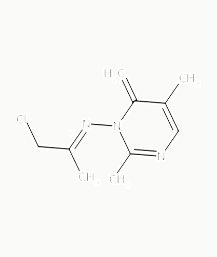 C=C1C(C)=CN=C(C)N1/N=C(\C)CCl